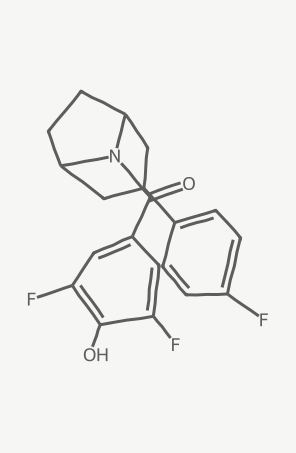 O=C(c1cc(F)c(O)c(F)c1)N1C2CCC1CC(c1ccc(F)cc1)C2